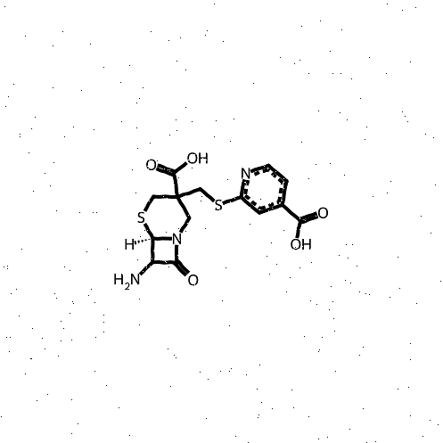 NC1C(=O)N2CC(CSc3cc(C(=O)O)ccn3)(C(=O)O)CS[C@H]12